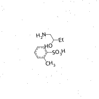 CCC(O)CN.Cc1ccccc1S(=O)(=O)O